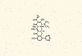 CN(C)[C@H]1C(O)=C(C(N)=O)C(=O)[C@]2(O)C(O)=C3C(=O)c4c(O)ccc(-c5cncnc5)c4C[C@@H]3C[C@@H]12